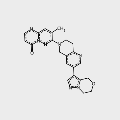 Cc1cc2nccc(=O)n2nc1N1CCc2ncc(-c3cnn4c3COCC4)cc2C1